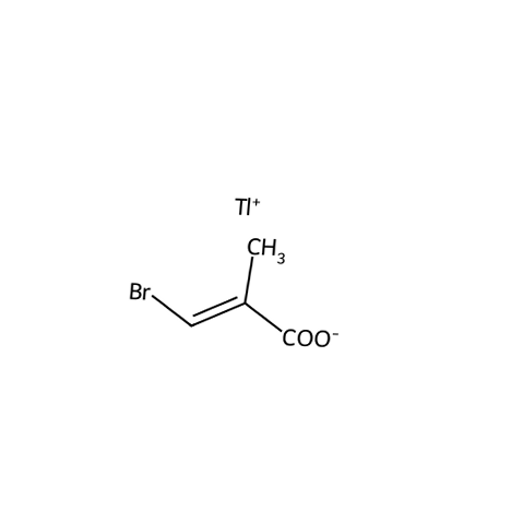 CC(=CBr)C(=O)[O-].[Tl+]